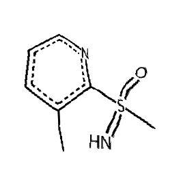 Cc1cccnc1S(C)(=N)=O